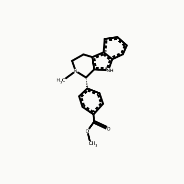 COC(=O)c1ccc([C@H]2c3[nH]c4ccccc4c3CCN2C)cc1